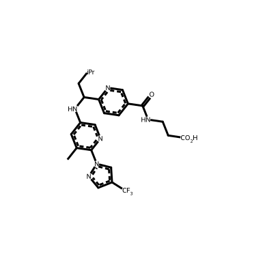 Cc1cc(NC(CC(C)C)c2ccc(C(=O)NCCC(=O)O)cn2)cnc1-n1cc(C(F)(F)F)cn1